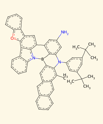 Cc1c2c(cc3cc4ccccc4cc13)B1c3c(cc(N)cc3N2c2cc(C(C)(C)C)cc(C(C)(C)C)c2)-c2cc3c4ccccc4oc3c3c4ccccc4n1c23